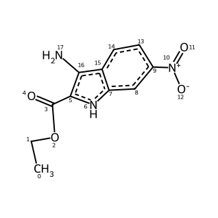 CCOC(=O)c1[nH]c2cc([N+](=O)[O-])ccc2c1N